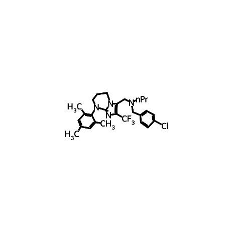 CCCN(Cc1ccc(Cl)cc1)Cc1c(C(F)(F)F)nc2n1CCCN2c1c(C)cc(C)cc1C